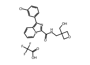 O=C(NCC1(CO)COC1)c1nc(-c2cccc(Cl)c2)c2ccccn12.O=C(O)C(F)(F)F